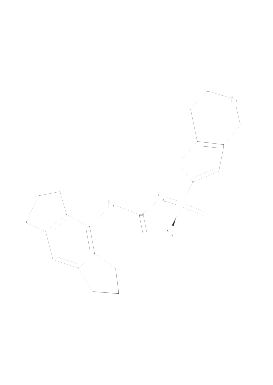 N[S@@](=O)(=NC(=O)Nc1c2c(cc3c1CCC3)CCC2)c1cc2c(s1)CCNC2